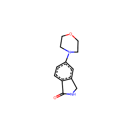 O=C1NCc2cc(N3CCOCC3)ccc21